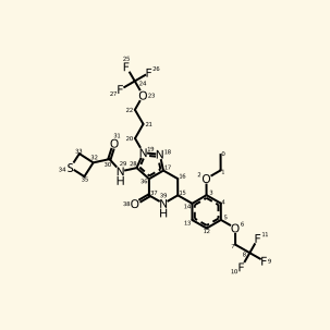 CCOc1cc(OCC(F)(F)F)ccc1C1Cc2nn(CCCOC(F)(F)F)c(NC(=O)C3CSC3)c2C(=O)N1